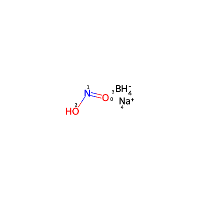 O=NO.[BH4-].[Na+]